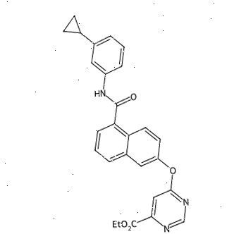 CCOC(=O)c1cc(Oc2ccc3c(C(=O)Nc4cccc(C5CC5)c4)cccc3c2)ncn1